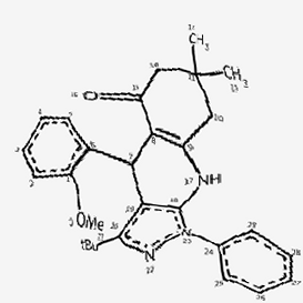 COc1ccccc1C1C2=C(CC(C)(C)CC2=O)Nc2c1c(C(C)(C)C)nn2-c1ccccc1